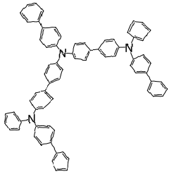 c1ccc(-c2ccc(N(c3ccccc3)c3ccc(-c4ccc(N(c5ccc(-c6ccccc6)cc5)c5ccc(-c6ccc(N(c7ccccc7)c7ccc(-c8ccccc8)cc7)cc6)cc5)cc4)cc3)cc2)cc1